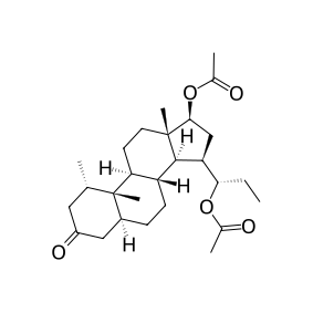 CC[C@H](OC(C)=O)[C@@H]1C[C@H](OC(C)=O)[C@@]2(C)CC[C@H]3[C@@H](CC[C@H]4CC(=O)C[C@H](C)[C@@]43C)[C@H]12